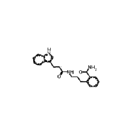 NC(=O)c1ccccc1CCCNC(=O)[CH]Cc1c[nH]c2ccccc12